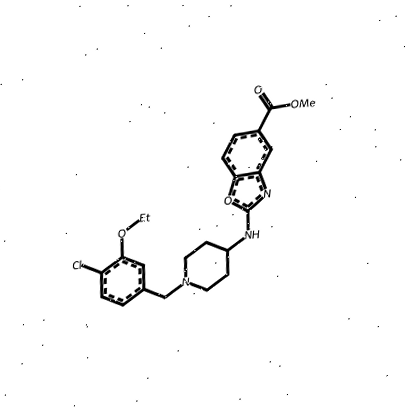 CCOc1cc(CN2CCC(Nc3nc4cc(C(=O)OC)ccc4o3)CC2)ccc1Cl